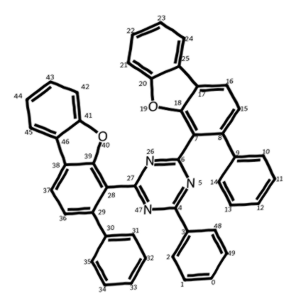 c1ccc(-c2nc(-c3c(-c4ccccc4)ccc4c3oc3ccccc34)nc(-c3c(-c4ccccc4)ccc4c3oc3ccccc34)n2)cc1